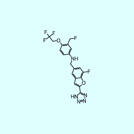 FCc1cc(NCc2cc(F)c3oc(-c4nnn[nH]4)cc3c2)ccc1OCC(F)(F)F